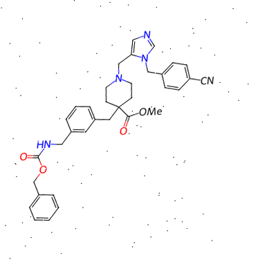 COC(=O)C1(Cc2cccc(CNC(=O)OCc3ccccc3)c2)CCN(Cc2cncn2Cc2ccc(C#N)cc2)CC1